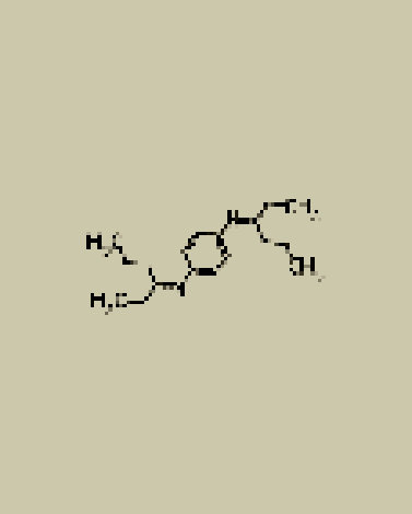 CCCC(CC)=Nc1ccc(N=C(CC)CCC)cc1